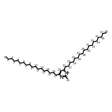 CCCCCCCCCCCCCCCCCCc1cc(CCCCCCCCCCCCCCCCCC)nc(C)n1